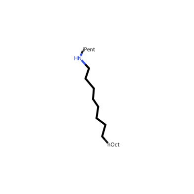 CCCCCCCCCCCCCCCCNC(C)CCC